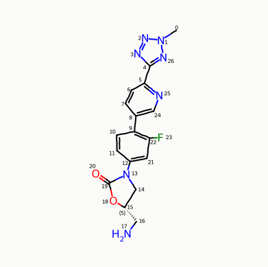 Cn1nnc(-c2ccc(-c3ccc(N4C[C@H](CN)OC4=O)cc3F)cn2)n1